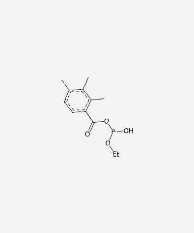 CCOP(O)OC(=O)c1ccc(C)c(C)c1C